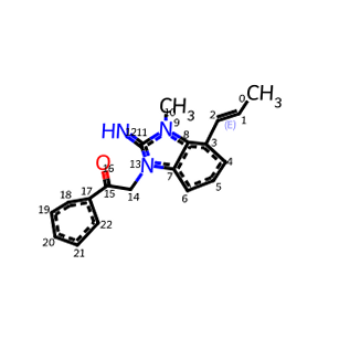 C/C=C/c1cccc2c1n(C)c(=N)n2CC(=O)c1ccccc1